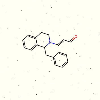 O=CC=CN1CCc2ccccc2C1Cc1ccccc1